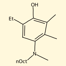 CCCCCCCCN(C)c1cc(CC)c(O)c(C)c1C